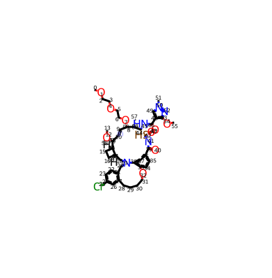 COCCOCCO[C@H]1/C=C/[C@H](OC)[C@@H]2CC[C@H]2CN2Cc3ccc(Cl)cc3CCCCOc3ccc(cc32)C(=O)/N=[SH](=O)\C(NC(=O)c2cn(C)nc2OC)[C@H]1C